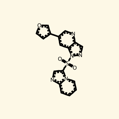 O=S(=O)(c1cnc2ccccn12)n1ncc2ncc(-c3ccoc3)cc21